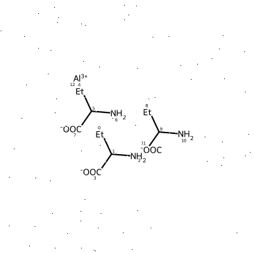 CCC(N)C(=O)[O-].CCC(N)C(=O)[O-].CCC(N)C(=O)[O-].[Al+3]